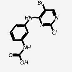 O=C(O)Nc1cccc(Nc2nc(Cl)ncc2Br)c1